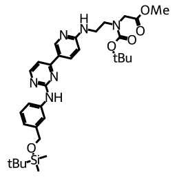 COC(=O)CN(CCNc1ccc(-c2ccnc(Nc3cccc(CO[Si](C)(C)C(C)(C)C)c3)n2)cn1)C(=O)OC(C)(C)C